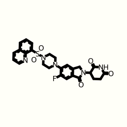 O=C1CCC(N2Cc3cc(N4CCN(S(=O)(=O)c5cccc6cccnc56)CC4)c(F)cc3C2=O)C(=O)N1